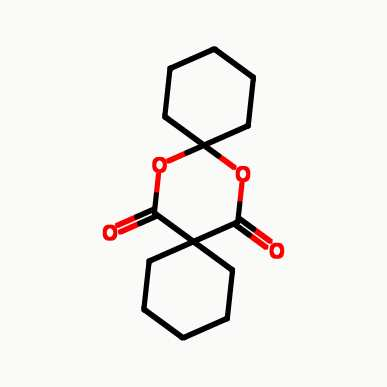 O=C1OC2(CCCCC2)OC(=O)C12CCCCC2